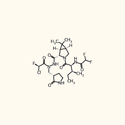 CC[C@H](C)[C@H](NC(=O)C(F)F)C(=O)N1C[C@H]2[C@@H]([C@H]1C(=O)NN(C[C@@H]1CCNC1=O)C(=O)[C@H](F)Cl)C2(C)C